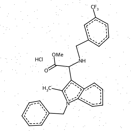 COC(=O)C(NCc1cccc(C(F)(F)F)c1)c1c(C)n(Cc2ccccc2)c2ccccc12.Cl